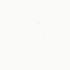 CC1(C)OB(c2cccc3ncccc23)OC1(C)C